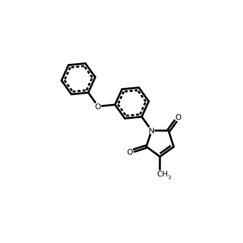 CC1=CC(=O)N(c2cccc(Oc3ccccc3)c2)C1=O